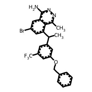 Cc1nnc(N)c2cc(Br)cc(C(C)c3cc(OCc4ccccc4)cc(C(F)(F)F)c3)c12